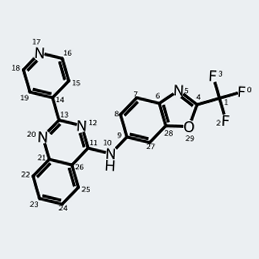 FC(F)(F)c1nc2ccc(Nc3nc(-c4ccncc4)nc4ccccc34)cc2o1